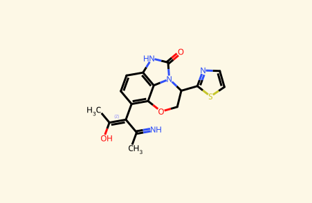 CC(=N)/C(=C(/C)O)c1ccc2[nH]c(=O)n3c2c1OCC3c1nccs1